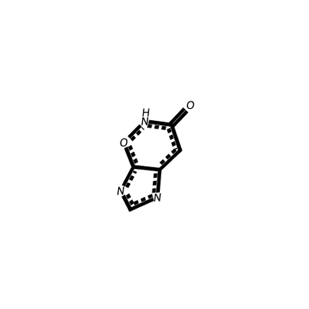 O=c1cc2ncnc-2o[nH]1